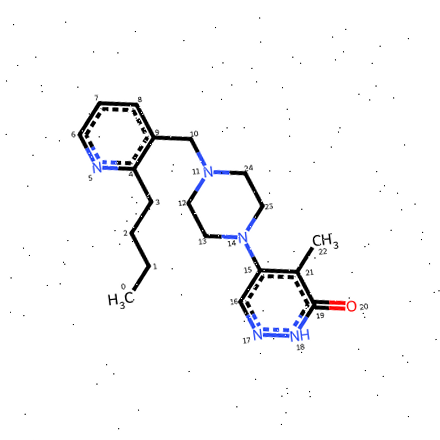 CCCCc1ncccc1CN1CCN(c2cn[nH]c(=O)c2C)CC1